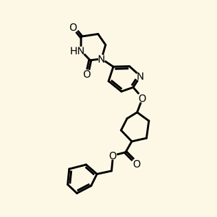 O=C1CCN(c2ccc(OC3CCC(C(=O)OCc4ccccc4)CC3)nc2)C(=O)N1